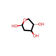 OC1C[C@@H](O)OC[C@@H]1O